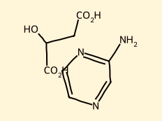 Nc1cnccn1.O=C(O)CC(O)C(=O)O